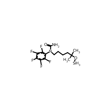 CC(C)(CCCCN(C(N)=O)c1c(F)c(F)c(F)c(F)c1F)O[SiH3]